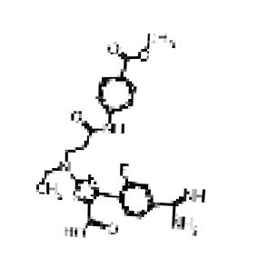 CCN(CCC(=O)Nc1ccc(C(=O)OC)cc1)c1nc(-c2ccc(C(=N)N)cc2F)c(C(=O)O)s1